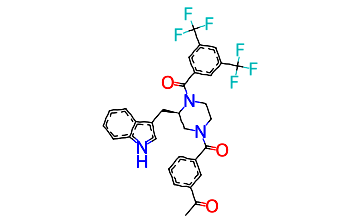 CC(=O)c1cccc(C(=O)N2CCN(C(=O)c3cc(C(F)(F)F)cc(C(F)(F)F)c3)[C@H](Cc3c[nH]c4ccccc34)C2)c1